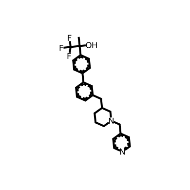 CC(O)(c1ccc(-c2cccc(CC3CCCN(Cc4ccncc4)C3)c2)cc1)C(F)(F)F